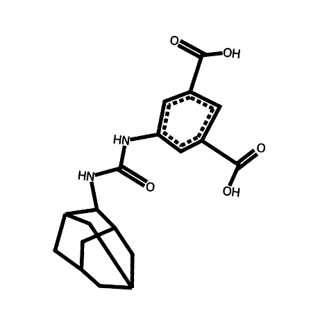 O=C(Nc1cc(C(=O)O)cc(C(=O)O)c1)NC1C2CC3CC(C2)CC1C3